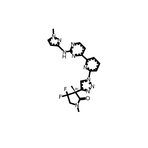 CN1CC(F)(F)[C@](C)(c2cn(-c3cccc(-c4ccnc(Nc5ccn(C)n5)n4)n3)nn2)C1=O